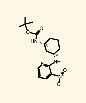 CC(C)(C)OC(=O)N[C@@H]1CCC[C@H](Nc2ncccc2[N+](=O)[O-])C1